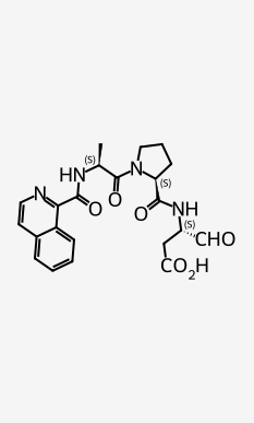 C[C@H](NC(=O)c1nccc2ccccc12)C(=O)N1CCC[C@H]1C(=O)N[C@H](C=O)CC(=O)O